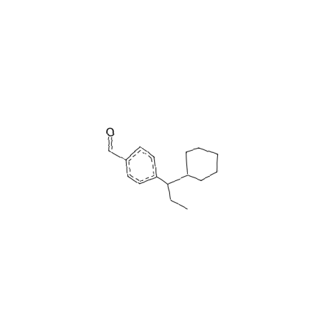 CCC(c1ccc(C=O)cc1)C1CCCCC1